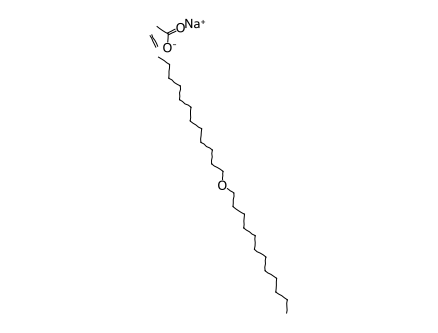 C=C.CC(=O)[O-].CCCCCCCCCCCCOCCCCCCCCCCCC.[Na+]